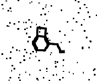 OCC1=C2CCC2=C=CC1